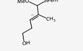 CCCCCC(OC)/C(C)=C/CCO